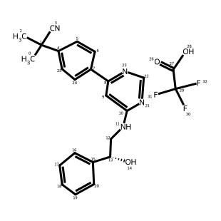 CC(C)(C#N)c1ccc(-c2cc(NC[C@H](O)c3ccccc3)ncn2)cc1.O=C(O)C(F)(F)F